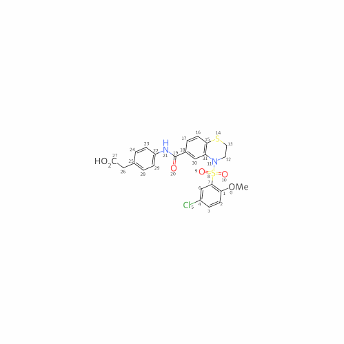 COc1ccc(Cl)cc1S(=O)(=O)N1CCSc2ccc(C(=O)Nc3ccc(CC(=O)O)cc3)cc21